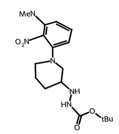 CNc1cccc(N2CCCC(NNC(=O)OC(C)(C)C)C2)c1[N+](=O)[O-]